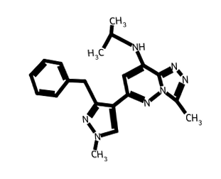 Cc1nnc2c(NC(C)C)cc(-c3cn(C)nc3Cc3ccccc3)nn12